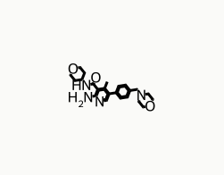 Cc1c(-c2ccc(CN3CCOCC3)cc2)cnc(N)c1C(=O)NC1CCOCC1